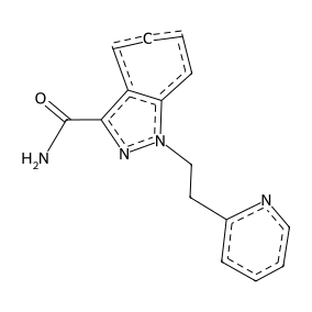 NC(=O)c1nn(CCc2ccccn2)c2ccccc12